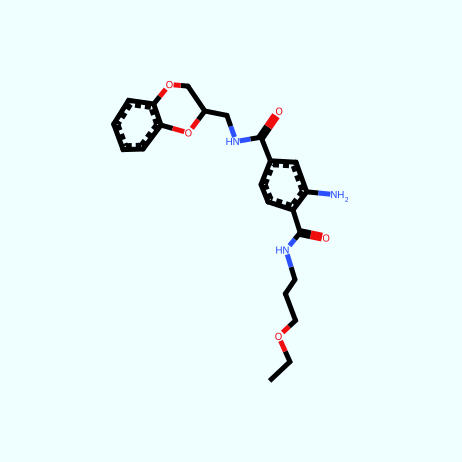 CCOCCCNC(=O)c1ccc(C(=O)NCC2COc3ccccc3O2)cc1N